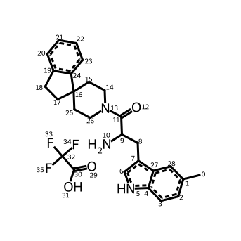 Cc1ccc2[nH]cc(CC(N)C(=O)N3CCC4(CCc5ccccc54)CC3)c2c1.O=C(O)C(F)(F)F